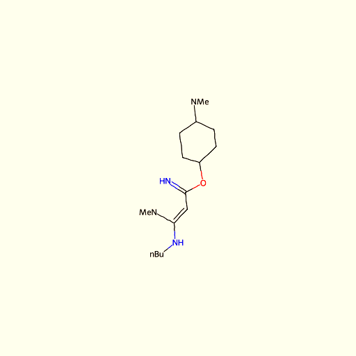 CCCCN/C(=C/C(=N)OC1CCC(NC)CC1)NC